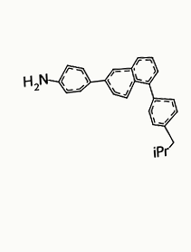 CC(C)Cc1ccc(-c2cccc3cc(-c4ccc(N)cc4)ccc23)cc1